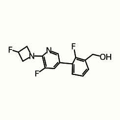 OCc1cccc(-c2cnc(N3CC(F)C3)c(F)c2)c1F